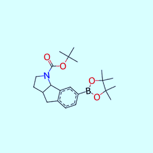 CC(C)(C)OC(=O)N1CCC2Cc3ccc(B4OC(C)(C)C(C)(C)O4)cc3C21